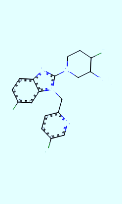 NC1CN(c2nc3ccc(F)cc3n2Cc2ccc(Cl)cn2)CCC1F